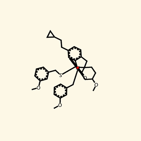 COc1cccc(CSC2=NC3(C(=O)N2Cc2cccc(OC)c2)c2cc(CCC4CC4)ccc2CC32CCC(OC)CC2)c1